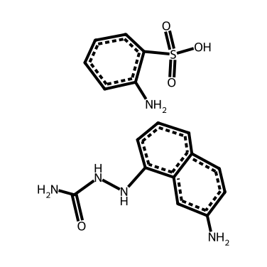 NC(=O)NNc1cccc2ccc(N)cc12.Nc1ccccc1S(=O)(=O)O